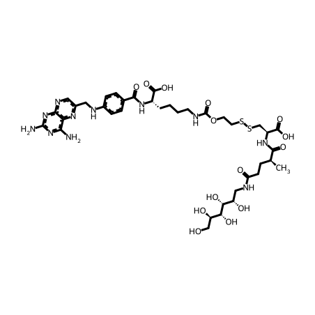 C[C@@H](CCC(=O)NC[C@H](O)[C@@H](O)[C@H](O)[C@H](O)CO)C(=O)N[C@@H](CSSCCOC(=O)NCCCC[C@H](NC(=O)c1ccc(NCc2cnc3nc(N)nc(N)c3n2)cc1)C(=O)O)C(=O)O